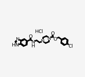 Cl.O=C(NCCN1CCN(C(=O)OCc2ccc(Cl)cc2)CC1)c1ccc2[nH]cnc2c1